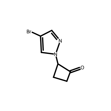 O=C1CCC1n1cc(Br)cn1